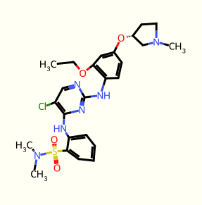 CCOc1cc(O[C@@H]2CCN(C)C2)ccc1Nc1ncc(Cl)c(Nc2ccccc2S(=O)(=O)N(C)C)n1